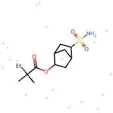 CCC(C)(C)C(=O)OC1CC2CC1CC2S(N)(=O)=O